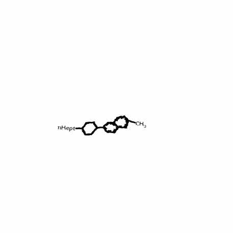 CCCCCCCC1CCC(c2ccc3cc(C)ccc3c2)CC1